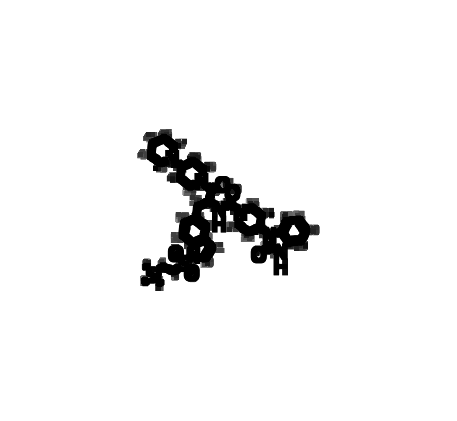 C[Si](C)(C)CCS(=O)(=O)n1ccc2cc(CC(NC(=O)N3CCC(n4c(=O)[nH]c5ccccc54)CC3)C(=O)N3CCC(N4CCCCC4)CC3)ccc21